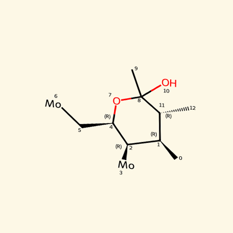 C[C@H]1[C@@H]([Mo])[C@@H]([CH2][Mo])OC(C)(O)[C@@H]1C